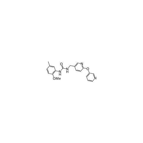 COc1ccc(C)cc1NC(=O)NCc1ccc(Oc2cccnc2)nc1